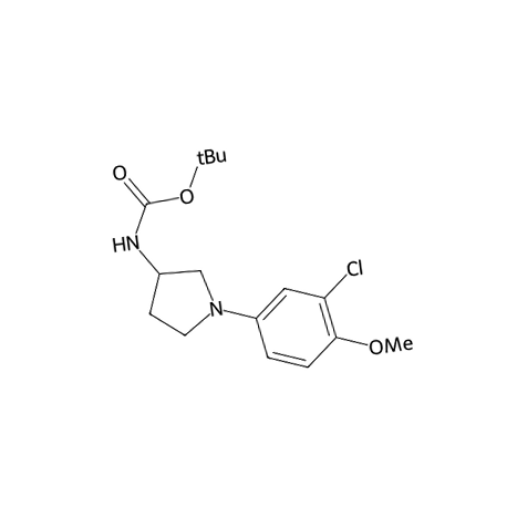 COc1ccc(N2CCC(NC(=O)OC(C)(C)C)C2)cc1Cl